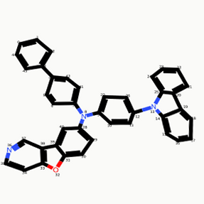 c1ccc(-c2ccc(N(c3ccc(-n4c5ccccc5c5ccccc54)cc3)c3ccc4oc5ccncc5c4c3)cc2)cc1